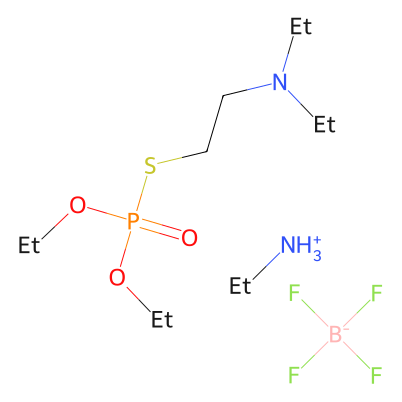 CCOP(=O)(OCC)SCCN(CC)CC.CC[NH3+].F[B-](F)(F)F